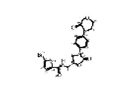 O=C(NC[C@H]1CN(c2ccc(N3CCOCC3=O)cc2)C(=O)O1)c1ccc(Br)s1